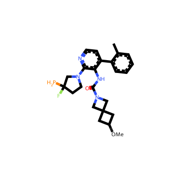 COC1CC2(C1)CN(C(=O)Nc1c(-c3ccccc3C)ccnc1N1CCC(F)(P)C1)C2